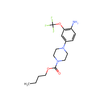 CCCCOC(=O)N1CCN(c2ccc(N)c(OC(F)(F)F)c2)CC1